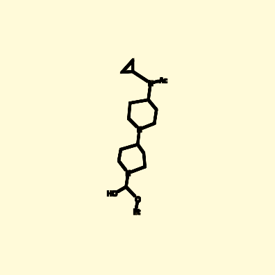 CCOC(O)N1CCC(N2CCC(N(C(C)=O)C3CC3)CC2)CC1